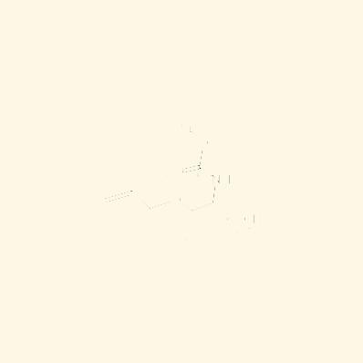 C=CCO[C@@H](C)[C@H](NC(=O)OC(C)(C)C)C(=O)O